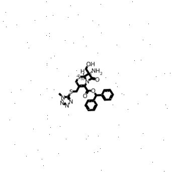 Cn1nnnc1SCC1=C(C(=O)OC(c2ccccc2)c2ccccc2)N2C(=O)[C@](N)(CO)[C@@H]2SC1